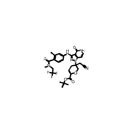 Cc1cc(Nc2nn(C3(CC#N)CCC(C(=O)OC(C)(C)C)OC3)c3cc[nH]c(=O)c23)ccc1C(=O)N(C)CC(F)(F)F